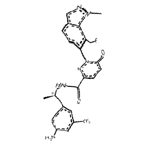 C[C@@H](NC(=O)c1ccc(=O)n(-c2ccc3cnn(C)c3c2F)n1)c1cc(N)cc(C(F)(F)F)c1